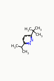 CC(C)c1ccc(C(C)(C)C)nn1